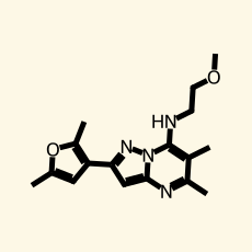 COCCNc1c(C)c(C)nc2cc(-c3cc(C)oc3C)nn12